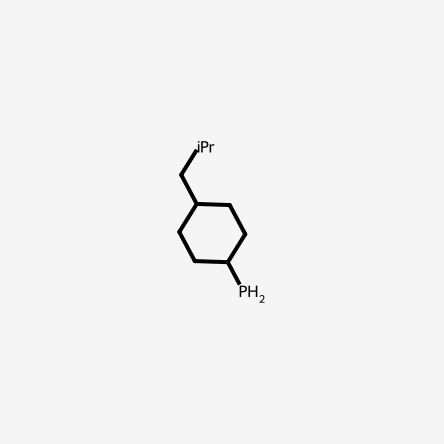 CC(C)CC1CCC(P)CC1